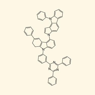 C1=C(c2ccccc2)CCc2c1c1c(-n3ccc4c3ccc3c5ccccc5n(-c5ccccc5)c34)cccc1n2-c1cccc(-c2nc(-c3ccccc3)nc(-c3ccccc3)n2)c1